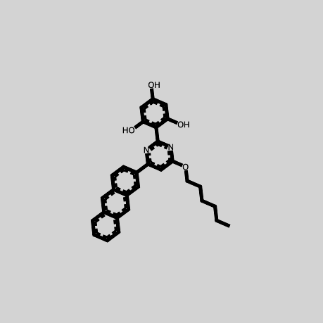 CCCCCCOc1cc(-c2ccc3cc4ccccc4cc3c2)nc(-c2c(O)cc(O)cc2O)n1